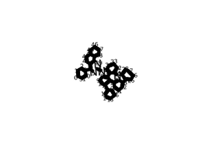 c1ccc(-c2nc(-n3c4ccc(-c5ccccc5)c5c6cccc7c8ccccc8n(c8cccc3c8c54)c76)nc3c2ccc2ccccc23)cc1